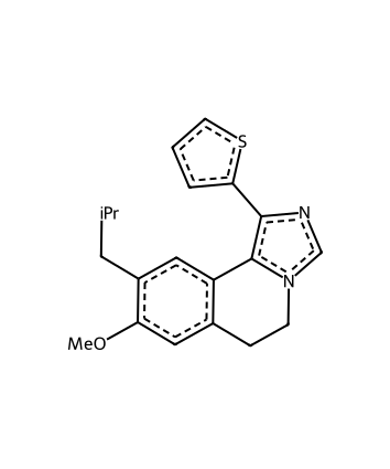 COc1cc2c(cc1CC(C)C)-c1c(-c3cccs3)ncn1CC2